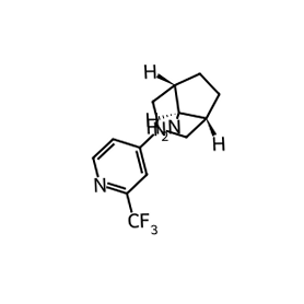 N[C@@H]1[C@@H]2CC[C@H]1CN(c1ccnc(C(F)(F)F)c1)C2